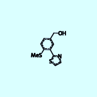 CSc1ccc(CO)cc1-c1nccs1